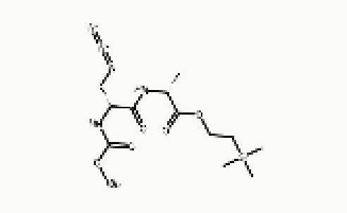 C[C@@H](NC(=O)[C@@H](CN=[N+]=[N-])NC(=O)OC(C)(C)C)C(=O)OCC[Si](C)(C)C